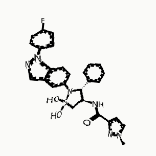 Cn1ccc(C(=O)N[C@H]2CS(O)(O)N(c3ccc4c(cnn4-c4ccc(F)cc4)c3)[C@@H]2c2ccccc2)n1